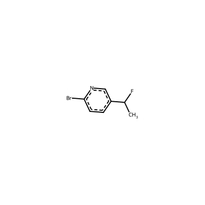 CC(F)c1ccc(Br)nc1